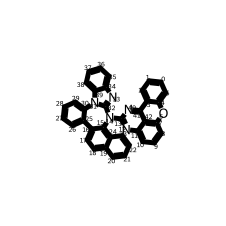 c1ccc2c(c1)Oc1cccc3nc(N4c5c(ccc6ccccc56)-c5ccccc5-n5c4nc4ccccc45)nc-2c13